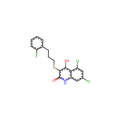 O=c1[nH]c2cc(Cl)cc(Cl)c2c(O)c1SCCCc1ccccc1F